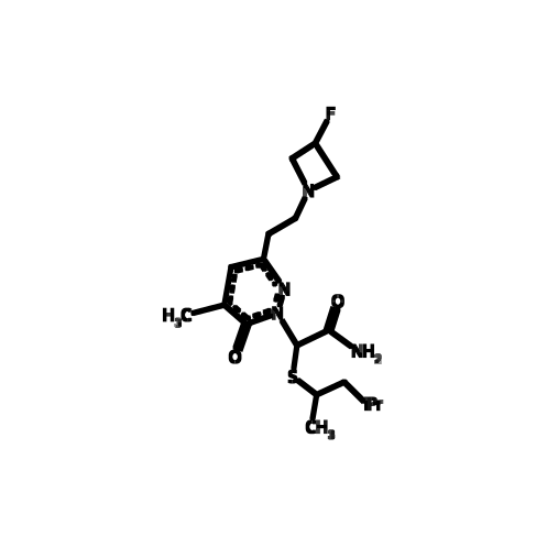 Cc1cc(CCN2CC(F)C2)nn(C(SC(C)CC(C)C)C(N)=O)c1=O